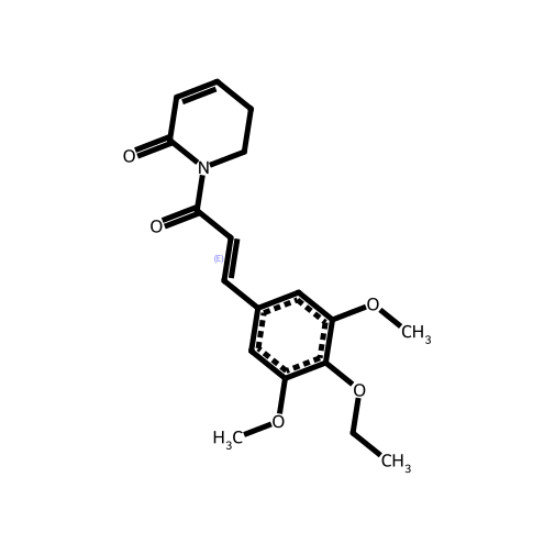 CCOc1c(OC)cc(/C=C/C(=O)N2CCC=CC2=O)cc1OC